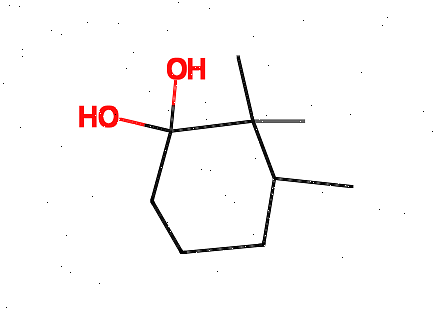 CC1CCCC(O)(O)C1(C)C